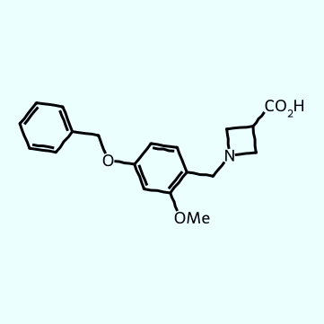 COc1cc(OCc2ccccc2)ccc1CN1CC(C(=O)O)C1